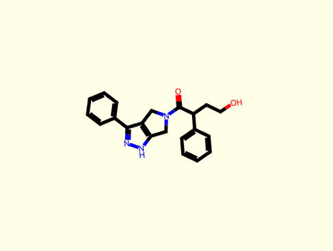 O=C(C(CCO)c1ccccc1)N1Cc2[nH]nc(-c3ccccc3)c2C1